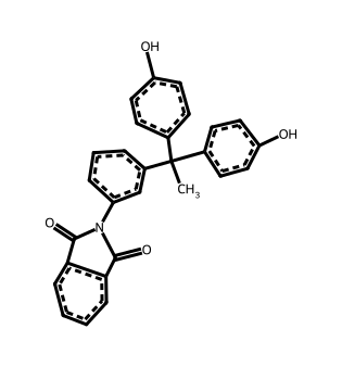 CC(c1ccc(O)cc1)(c1ccc(O)cc1)c1cccc(N2C(=O)c3ccccc3C2=O)c1